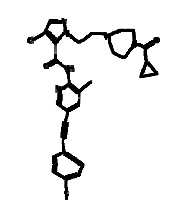 Cc1cc(C#Cc2ccc(F)cc2)cnc1NC(=O)c1c(Cl)cnn1CCN1CCN(C(=O)C2CC2)CC1